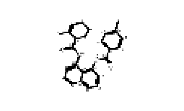 CC1=CCCCC1C(=O)Oc1cccc2cccc(OC(=O)c3ccc(C)cc3)c12